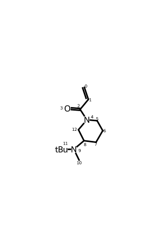 C=CC(=O)N1CCCC(N(C)C(C)(C)C)C1